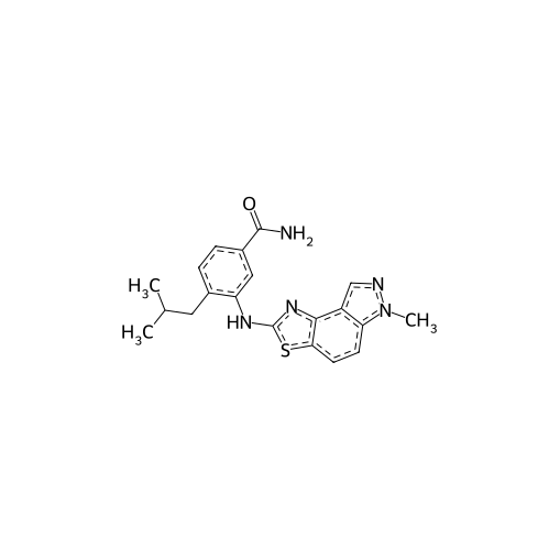 CC(C)Cc1ccc(C(N)=O)cc1Nc1nc2c(ccc3c2cnn3C)s1